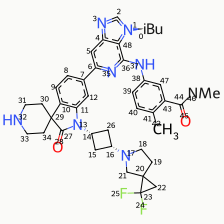 CC[C@H](C)n1cnc2cc(-c3ccc4c(c3)N([C@H]3C[C@@H](N5CCC6(C5)CC6(F)F)C3)C(=O)C43CCNCC3)nc(Nc3ccc(C)c(C(=O)NC)c3)c21